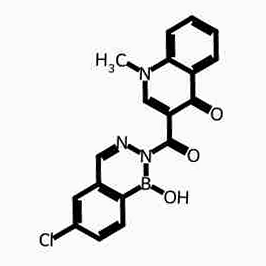 Cn1cc(C(=O)N2N=Cc3cc(Cl)ccc3B2O)c(=O)c2ccccc21